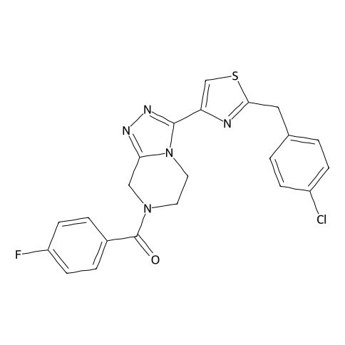 O=C(c1ccc(F)cc1)N1CCn2c(nnc2-c2csc(Cc3ccc(Cl)cc3)n2)C1